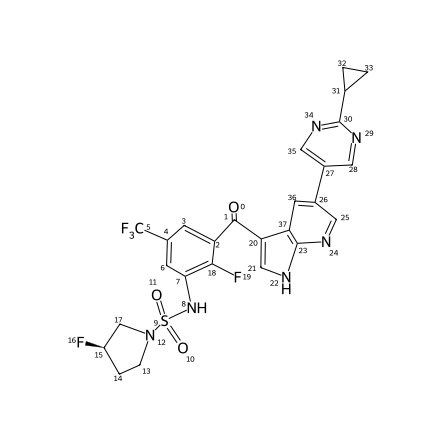 O=C(c1cc(C(F)(F)F)cc(NS(=O)(=O)N2CC[C@@H](F)C2)c1F)c1c[nH]c2ncc(-c3cnc(C4CC4)nc3)cc12